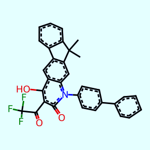 CC1(C)c2ccccc2-c2cc3c(O)c(C(=O)C(F)(F)F)c(=O)n(-c4ccc(-c5ccccc5)cc4)c3cc21